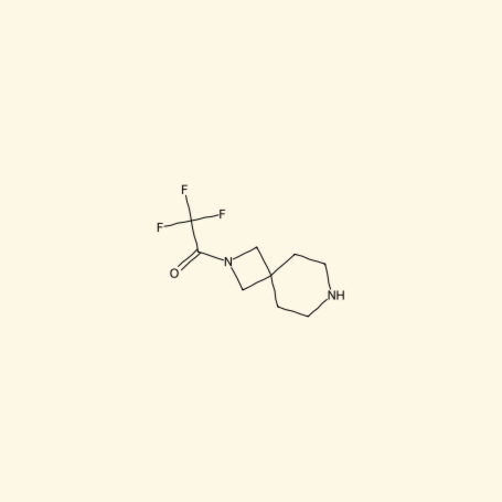 O=C(N1CC2(CCNCC2)C1)C(F)(F)F